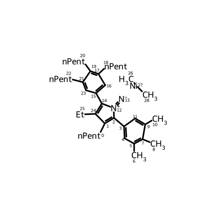 CCCCCC1=C(c2cc(C)c(C)c(C)c2)[N+](=[N-])C(c2cc(CCCCC)c(CCCCC)c(CCCCC)c2)=C1CC.[CH3][Ni][CH3]